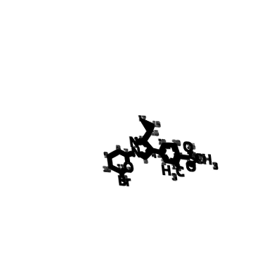 Cc1cc(-c2cn(C3CCCC(Br)O3)nc2C2CC2)ccc1S(C)(=O)=O